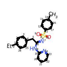 CCc1ccc(CC(=NS(=O)(=O)c2ccc(C)cc2)Nc2ccccn2)cc1